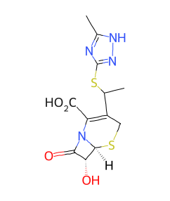 Cc1nc(SC(C)C2=C(C(=O)O)N3C(=O)[C@@H](O)[C@@H]3SC2)n[nH]1